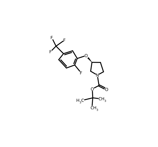 CC(C)(C)OC(=O)N1CC[C@H](Oc2cc(C(F)(F)F)ccc2F)C1